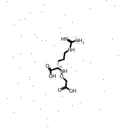 N=C(N)NCCC[C@H](NOCC(=O)O)C(=O)O